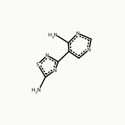 Nc1nc(-c2cn[c]nc2N)ns1